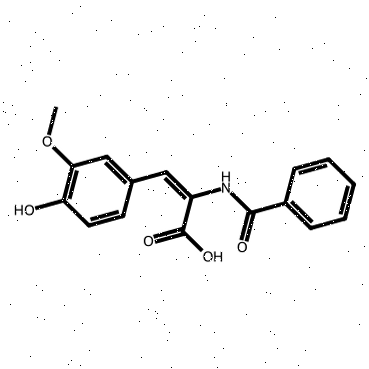 COc1cc(/C=C(/NC(=O)c2ccccc2)C(=O)O)ccc1O